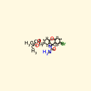 CC(C)(C)OC(=O)Cc1ccc2c(c1)C1(COC(N)=N1)c1cc(Br)ccc1O2